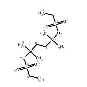 CCS(=O)(=O)O[Si](C)(C)CC[Si](C)(C)OS(=O)(=O)CC